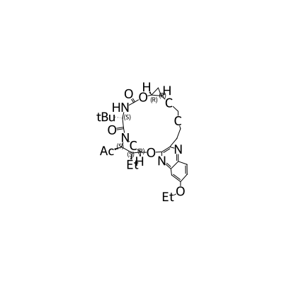 CCOc1ccc2nc3c(nc2c1)O[C@H]1CN(C(=O)[C@H](C(C)(C)C)NC(=O)O[C@@H]2C[C@H]2CCCCC3)[C@H](C(C)=O)[C@@H]1CC